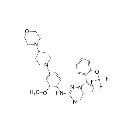 COc1cc(N2CCC(N3CCOCC3)CC2)ccc1Nc1ncc2ccc(-c3ccccc3OC(F)(F)F)n2n1